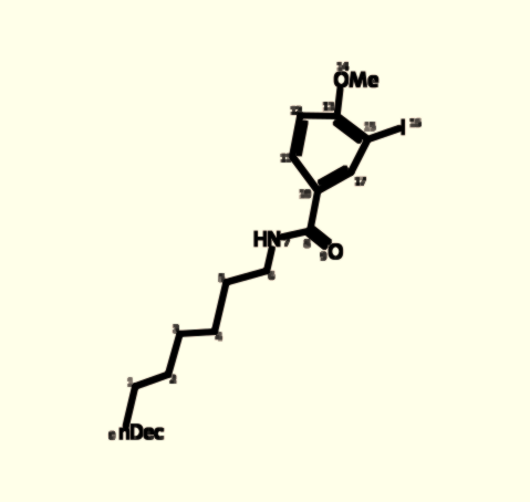 CCCCCCCCCCCCCCCCNC(=O)c1ccc(OC)c(I)c1